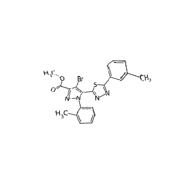 COC(=O)c1nn(-c2ccccc2C)c(-c2nnc(-c3cccc(C)c3)s2)c1Br